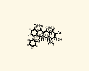 CC(=O)C1=C(O)[C@@H](N(C)C)[C@@H]2C[C@H]3C(=C(O)[C@]2(O)C1=O)C(=O)c1c(O)cccc1[C@@H]3Sc1ccccc1